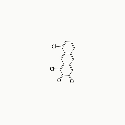 O=C1C=c2cc3cccc(Cl)c3cc2=C(Cl)C1=O